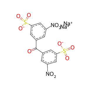 O=C(c1cc([N+](=O)[O-])cc(S(=O)(=O)[O-])c1)c1cc([N+](=O)[O-])cc(S(=O)(=O)[O-])c1.[Na+].[Na+]